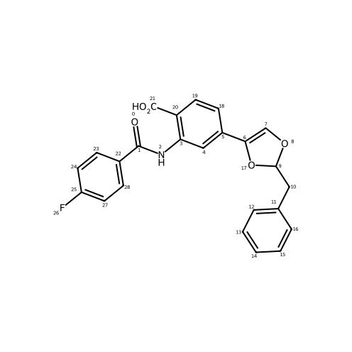 O=C(Nc1cc(C2=COC(Cc3ccccc3)O2)ccc1C(=O)O)c1ccc(F)cc1